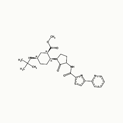 COC(=O)[C@@H]1C[C@H](NC(C)(C)C)CC[C@@H]1N1CCC(NC(=O)c2nc(-c3ccccn3)cs2)C1=O